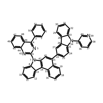 c1ccc(-c2nc(-n3c4ccccc4c4c5ccccc5c(-c5ccc6c(c5)c5ccccc5n6-c5cccnc5)cc43)nc3ccccc23)cc1